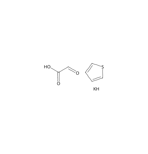 O=CC(=O)O.[KH].c1ccsc1